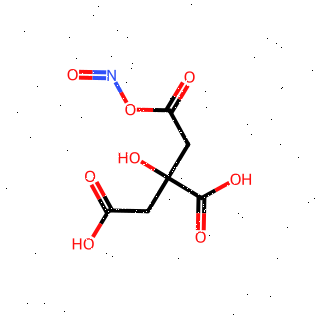 O=NOC(=O)CC(O)(CC(=O)O)C(=O)O